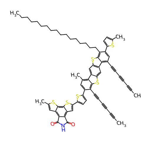 CC#CC#CC#Cc1c(-c2ccc(-c3cc4c5c(c6cc(C)sc6c4s3)C(=O)NC5=O)s2)cc(C)c2c1sc1cc3c(cc12)sc1c(CCCCCCCCCCCCCCCCC)c(-c2ccc(C)s2)cc(C#CC#CC#CC)c13